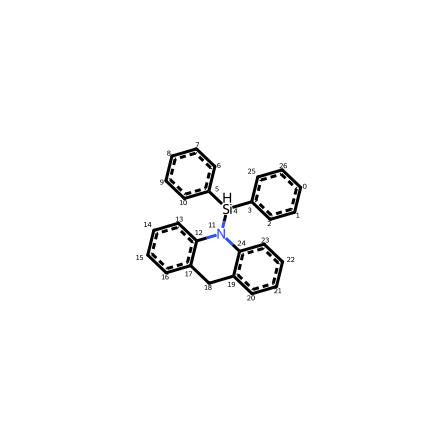 c1ccc([SiH](c2ccccc2)N2c3ccccc3Cc3ccccc32)cc1